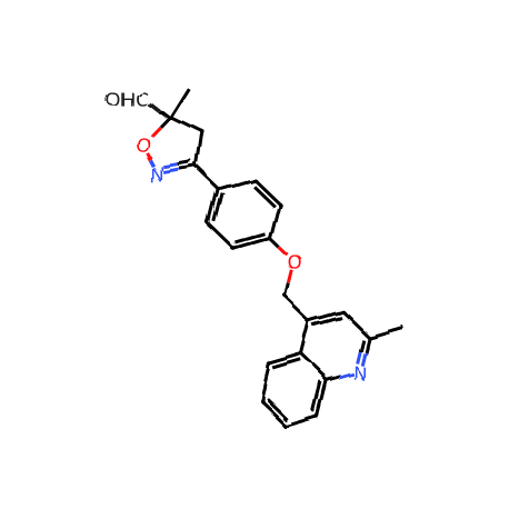 Cc1cc(COc2ccc(C3=NOC(C)(C=O)C3)cc2)c2ccccc2n1